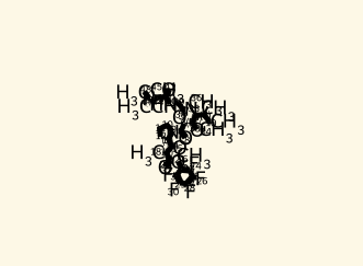 CC[C@H](C)[C@@H]([C@@H](CC(=O)N1CCC[C@H]1[C@H](OC)[C@@H](C)C(=O)Oc1c(F)c(F)c(F)c(F)c1F)OC)N(C)C(=O)CNC(=O)C(C)(C)N(C)C